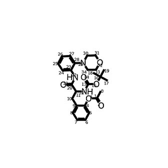 CC(=O)Oc1ccccc1CC(NC(=O)OC(C)(C)C)C(=O)Nc1ccccc1N1CCOCC1